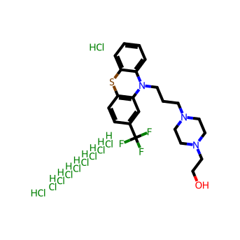 Cl.Cl.Cl.Cl.Cl.Cl.Cl.Cl.Cl.Cl.OCCN1CCN(CCCN2c3ccccc3Sc3ccc(C(F)(F)F)cc32)CC1